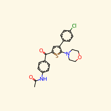 CC(=O)Nc1ccc(C(=O)c2cc(-c3ccc(Cl)cc3)c(N3CCOCC3)s2)cc1